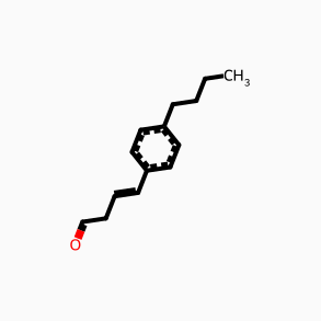 CCCCc1ccc(C=CCC=O)cc1